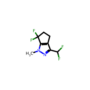 Cn1nc(C(F)F)c2c1C(F)(F)CC2